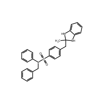 CC1(Cc2ccc(S(=O)(=O)N(Cc3ccccc3)c3ccccc3)cc2)Nc2ccccc2N1